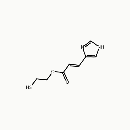 O=C(/C=C/c1c[nH]cn1)OCCS